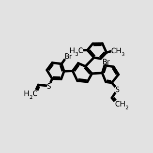 C=CSc1ccc(Br)c(-c2ccc(-c3cc(SC=C)ccc3Br)c(-c3cc(C)ccc3C)c2)c1